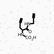 C#CCNC(=O)C(CC#C)NC(=O)O